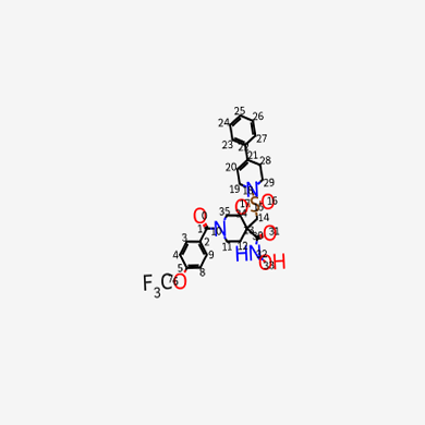 O=C(c1ccc(OC(F)(F)F)cc1)N1CCC(CS(=O)(=O)N2CC=C(c3ccccc3)CC2)(C(=O)NO)CC1